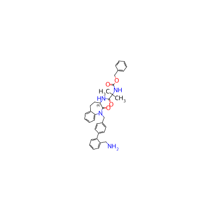 CC(C)(NC(=O)OCc1ccccc1)C(=O)N[C@@H]1CCc2ccccc2N(Cc2ccc(-c3ccccc3CN)cc2)C1=O